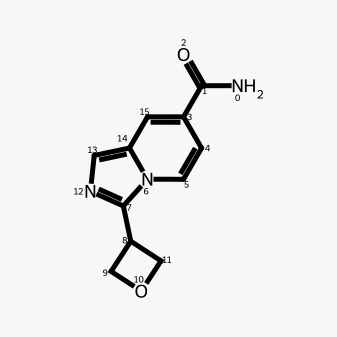 NC(=O)c1ccn2c(C3COC3)ncc2c1